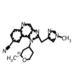 C[C@@H]1CC(n2c(Cc3cn(C)cn3)nc3cnc4ccc(C#N)cc4c32)CCO1